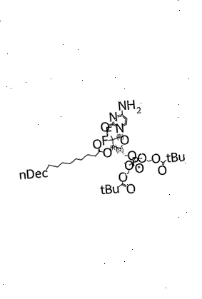 CCCCCCCCCCCCCCCCCCC(=O)O[C@@H]1[C@@H](COP(=O)(OCOC(=O)C(C)(C)C)OCOC(=O)C(C)(C)C)O[C@@H](n2ccc(N)nc2=O)C1(F)F